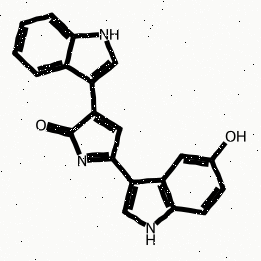 O=C1N=C(c2c[nH]c3ccc(O)cc23)C=C1c1c[nH]c2ccccc12